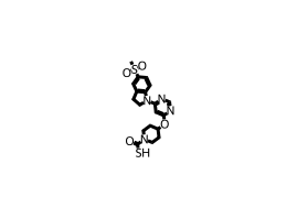 CS(=O)(=O)c1ccc2c(c1)CCN2c1cc(OC2CCN(C(=O)S)CC2)ncn1